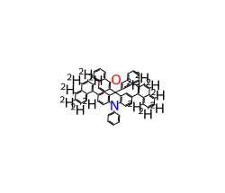 [2H]c1c([2H])c([2H])c2c(-c3ccc4c(c3)C3(c5cc(-c6c([2H])c([2H])c([2H])c7c([2H])c([2H])c([2H])c([2H])c67)ccc5N4c4ccccc4)c4ccc5ccccc5c4Oc4c3ccc3ccccc43)c([2H])c([2H])c([2H])c2c1[2H]